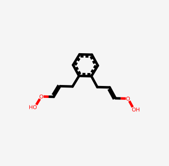 OOC=CCc1ccccc1CC=COO